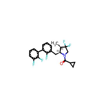 C[C@@H]1[C@H](Cc2cccc(-c3cccc(F)c3F)c2F)N(C(=O)C2CC2)CC1(F)F